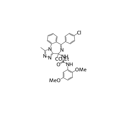 CCOC(=O)C1(NC(=O)Nc2cc(OC)ccc2OC)N=C(c2ccc(Cl)cc2)c2ccccc2-n2c(C)nnc21